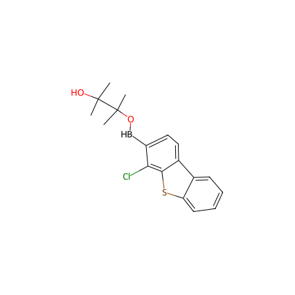 CC(C)(O)C(C)(C)OBc1ccc2c(sc3ccccc32)c1Cl